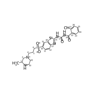 CC1CN(CCCS(=O)(=O)c2ccc3nc(NC(=O)NC(=O)c4ccccc4Cl)sc3c2)CCN1